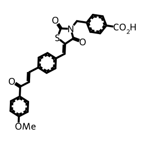 COc1ccc(C(=O)/C=C/c2ccc(/C=C3\SC(=O)N(Cc4ccc(C(=O)O)cc4)C3=O)cc2)cc1